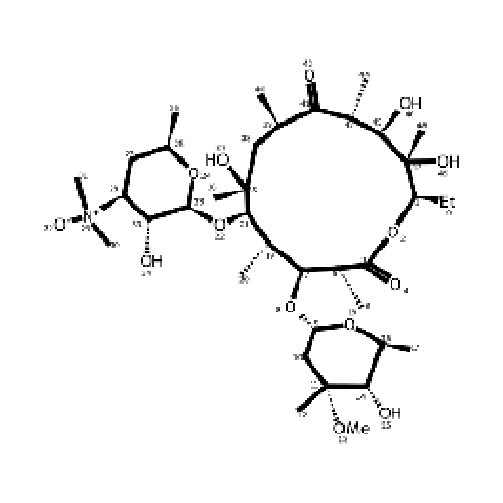 CC[C@H]1OC(=O)[C@H](C)[C@@H](O[C@H]2C[C@@](C)(OC)[C@@H](O)[C@H](C)O2)[C@H](C)[C@@H](O[C@@H]2O[C@H](C)C[C@H]([N+](C)(C)[O-])[C@H]2O)[C@](C)(O)C[C@@H](C)C(=O)[C@H](C)[C@@H](O)[C@]1(C)O